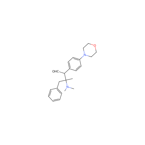 CN(C)C(C)(Cc1ccccc1)C(C=O)c1ccc(N2CCOCC2)cc1